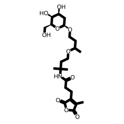 CC1=C(CCC(=O)NC(C)(C)CCOC(C)CCO[C@@H]2C[C@H](O)[C@H](O)[C@H](CO)O2)C(=O)OC1=O